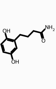 NC(=O)CCCc1cc(O)ccc1O